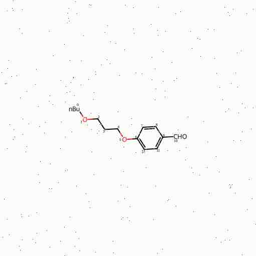 CCCCOCCCOc1ccc(C=O)cc1